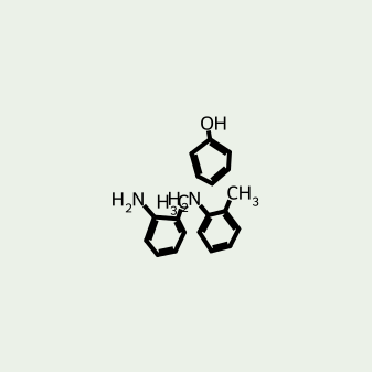 Cc1ccccc1N.Cc1ccccc1N.Oc1ccccc1